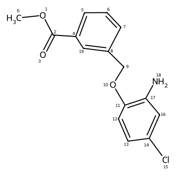 COC(=O)c1cccc(COc2ccc(Cl)cc2N)c1